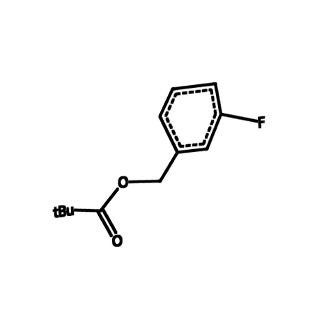 CC(C)(C)C(=O)OCc1cccc(F)c1